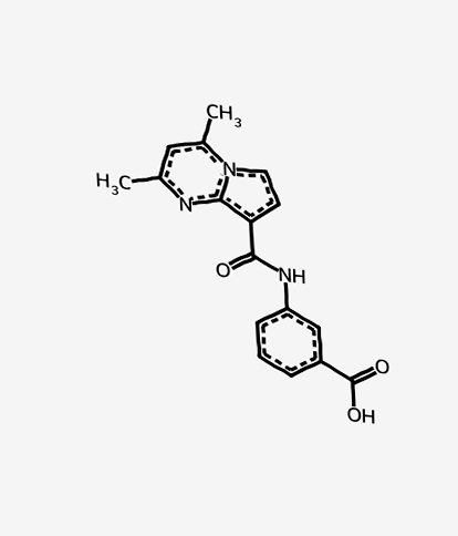 Cc1cc(C)n2ccc(C(=O)Nc3cccc(C(=O)O)c3)c2n1